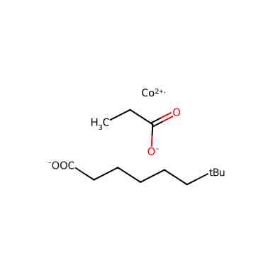 CC(C)(C)CCCCCC(=O)[O-].CCC(=O)[O-].[Co+2]